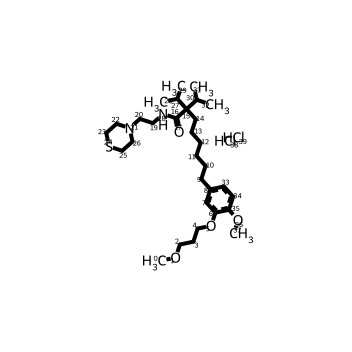 COCCCOc1cc(CCCCCCC(C(=O)NCCN2CCSCC2)(C(C)C)C(C)C)ccc1OC.Cl.Cl